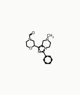 CN1CCn2c(-c3ccccc3)nc(C3CN(C=O)CCO3)c2C1